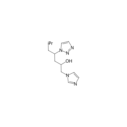 CC(C)CC(CC(O)Cn1ccnc1)n1ccnn1